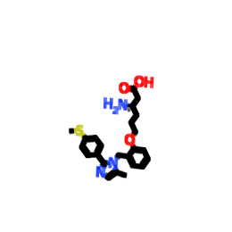 CSc1ccc(-c2ncc(C)n2Cc2ccccc2OCCC[C@@H](N)CC(=O)O)cc1